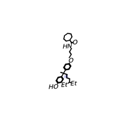 CCC(CC)C/C=C/C(C)(c1ccc(O)cc1)c1ccc(OCCCCNC(=O)C2CCCCCC2)cc1